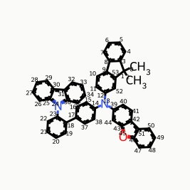 CC1(C)c2ccccc2-c2ccc(N(c3ccc(-c4ccccc4-n4c5ccccc5c5ccccc54)cc3)c3ccc4c(c3)oc3ccccc34)cc21